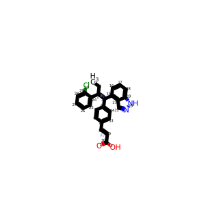 CC/C(=C(/c1ccc(/C=C/C(=O)O)cc1)c1cccc2[nH]ncc12)c1ccccc1Cl